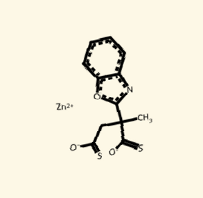 CC(CC([O-])=S)(C([O-])=S)c1nc2ccccc2o1.[Zn+2]